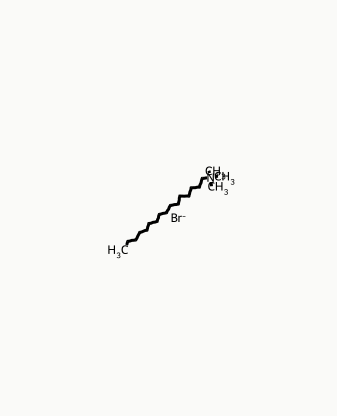 CCCCCCCCCCCCCCCC[N+](C)(C)C.[Br-]